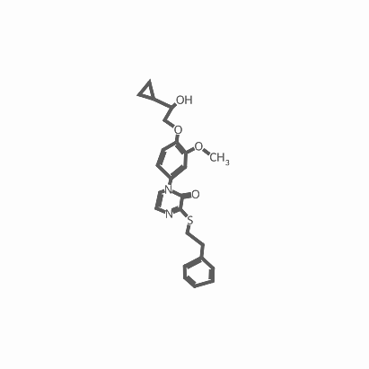 COc1cc(-n2ccnc(SCCc3ccccc3)c2=O)ccc1OCC(O)C1CC1